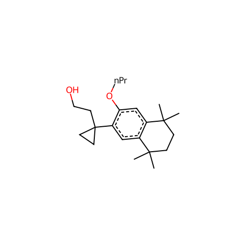 CCCOc1cc2c(cc1C1(CCO)CC1)C(C)(C)CCC2(C)C